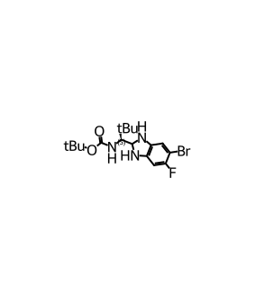 CC(C)(C)OC(=O)N[C@H](C1Nc2cc(F)c(Br)cc2N1)C(C)(C)C